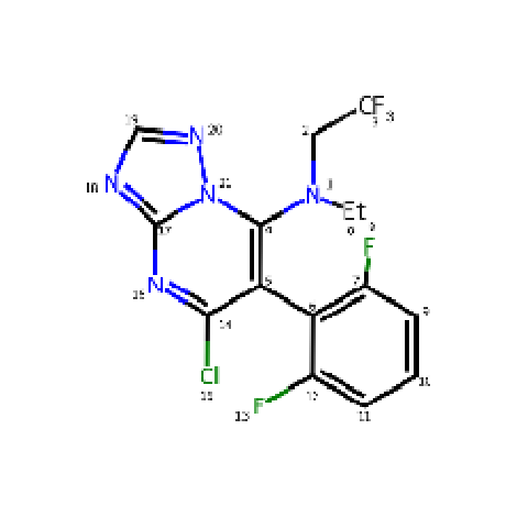 CCN(CC(F)(F)F)c1c(-c2c(F)cccc2F)c(Cl)nc2ncnn12